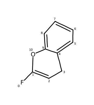 FC1=CCc2ccccc2O1